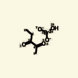 CCC(=O)C(C)=O.[O-][Br+2]([O-])O